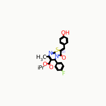 CC1=C(C(=O)OC(C)C)C(c2ccc(F)cc2)n2c(s/c(=C\c3ccc(O)cc3)c2=O)=N1